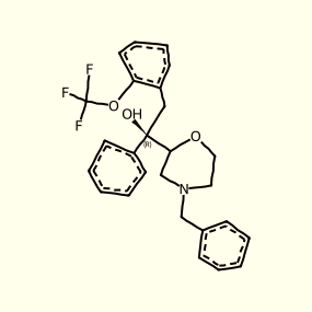 O[C@](Cc1ccccc1OC(F)(F)F)(c1ccccc1)C1CN(Cc2ccccc2)CCO1